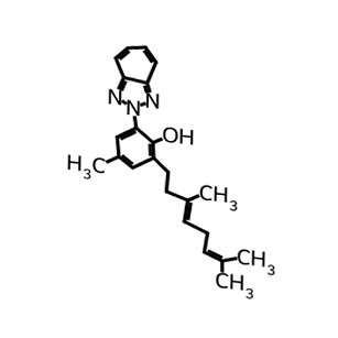 CC(C)=CC/C=C(\C)CCc1cc(C)cc(-n2nc3ccccc3n2)c1O